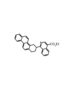 CCOC(=O)c1cnc(C2CCc3ccc4c(ccc5ccccc54)c3C2)c2ccccc12